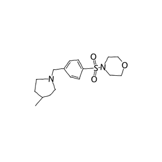 CC1CCN(Cc2ccc(S(=O)(=O)N3CCOCC3)cc2)CC1